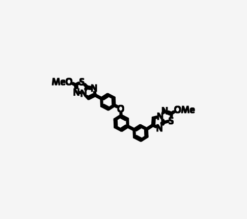 COc1nn2cc(-c3ccc(Oc4cccc(-c5cccc(-c6cn7nc(OC)sc7n6)c5)c4)cc3)nc2s1